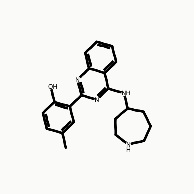 Cc1ccc(O)c(-c2nc(NC3CCCNCC3)c3ccccc3n2)c1